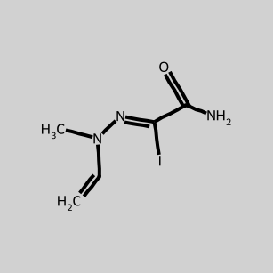 C=CN(C)/N=C(\I)C(N)=O